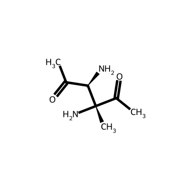 CC(=O)[C@@H](N)[C@@](C)(N)C(C)=O